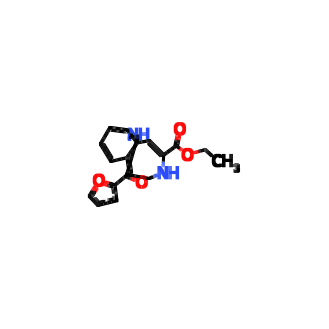 CCOC(=O)C1=CC23C(=CCN1)C=CC=C2NCC3C(=O)c1ccco1